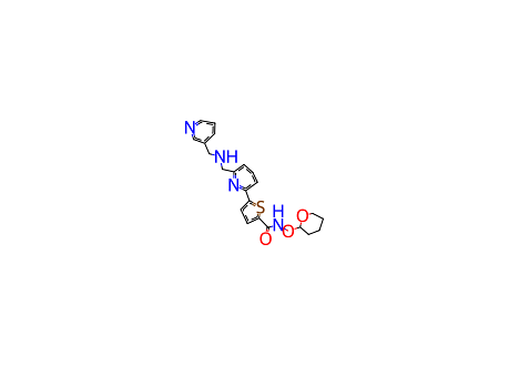 O=C(NOC1CCCCO1)c1ccc(-c2cccc(CNCc3cccnc3)n2)s1